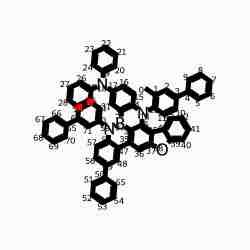 Cc1cc(-c2ccccc2)ccc1N1c2ccc(N(c3ccccc3)c3ccccc3)cc2B2c3c(cc4oc5ccccc5c4c31)-c1cc(-c3ccccc3)ccc1N2c1cccc(-c2ccccc2)c1